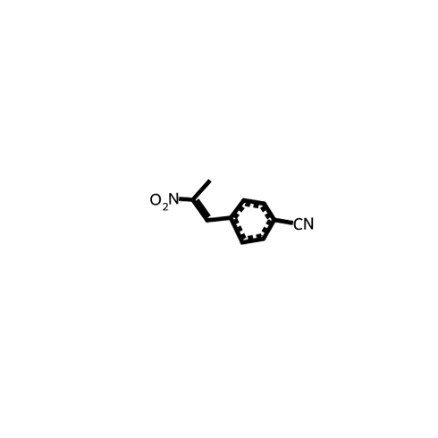 C/C(=C\c1ccc(C#N)cc1)[N+](=O)[O-]